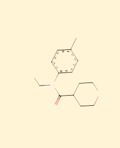 CCOC(=O)CN(C(=O)C1CCOCC1)c1ccc(C)cc1